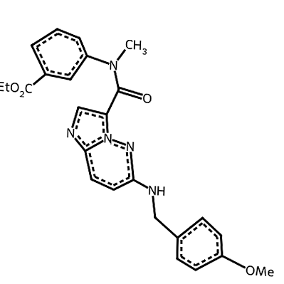 CCOC(=O)c1cccc(N(C)C(=O)c2cnc3ccc(NCc4ccc(OC)cc4)nn23)c1